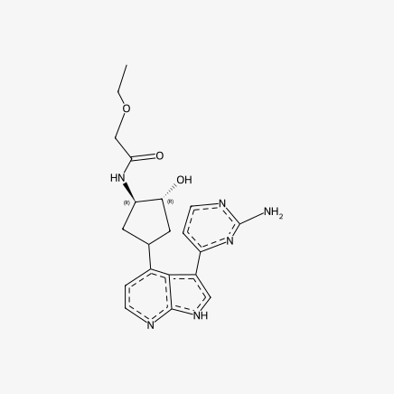 CCOCC(=O)N[C@@H]1CC(c2ccnc3[nH]cc(-c4ccnc(N)n4)c23)C[C@H]1O